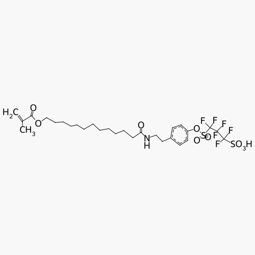 C=C(C)C(=O)OCCCCCCCCCCCCC(=O)NCCc1ccc(OS(=O)(=O)C(F)(F)C(F)(F)C(F)(F)S(=O)(=O)O)cc1